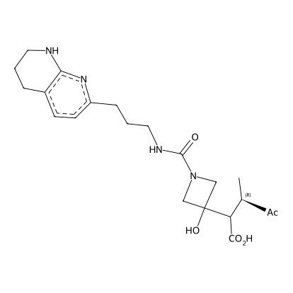 CC(=O)[C@H](C)C(C(=O)O)C1(O)CN(C(=O)NCCCc2ccc3c(n2)NCCC3)C1